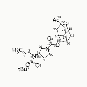 C=CCN(C(=O)OC(C)(C)C)[C@@H]1CCN(C(=O)OC2C3CC4CC2CC(C(C)=O)(C4)C3)C1